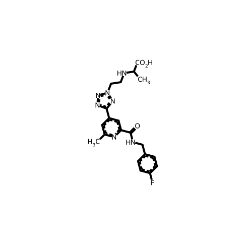 Cc1cc(-c2nnn(CCNC(C)C(=O)O)n2)cc(C(=O)NCc2ccc(F)cc2)n1